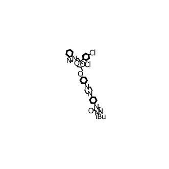 CCC(C)n1ncn(-c2ccc(N3CCN(c4ccc(OCC5COC(Cn6cnc7ccccc76)(c6ccc(Cl)cc6Cl)O5)cc4)CC3)cc2)c1=O